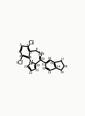 Clc1ccc(Cl)c2c1CN=C(c1ccc3c(c1)CCC3)c1cccn1-2